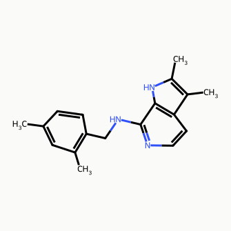 Cc1ccc(CNc2nccc3c(C)c(C)[nH]c23)c(C)c1